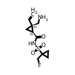 C=C[C@@]1(CN)C[C@@H]1C(=O)NS(=O)(=O)C1(CF)CC1